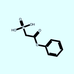 O=C(CP(=O)(O)O)Oc1ccccc1